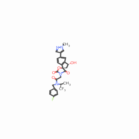 C[C@H](N(Cc1ccc(F)cc1)C(=O)CN1C(=O)O[C@@]2(C[C@@H](O)c3cc(-c4cnn(C)c4)ccc32)C1=O)C(F)(F)F